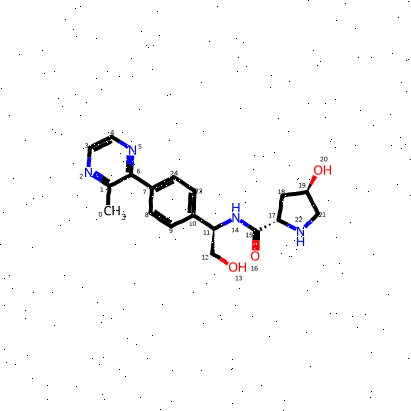 Cc1nccnc1-c1ccc([C@H](CO)NC(=O)[C@@H]2C[C@@H](O)CN2)cc1